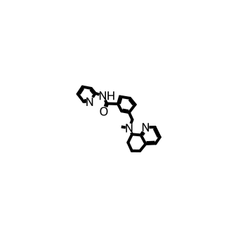 CN(Cc1cccc(C(=O)Nc2ccccn2)c1)C1CCCc2cccnc21